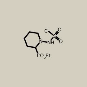 CCOC(=O)C1CCCCN1NS(=O)(=O)Cl